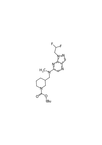 CN(CC1CCCN(C(=O)OC(C)(C)C)C1)c1cnc2cnn(CC(F)F)c2n1